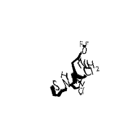 N[C@@H](COC(F)F)Cc1cc2c(NCc3cccs3)cc(Cl)nn2c1Cl